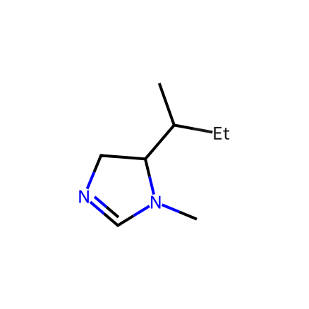 CCC(C)C1CN=CN1C